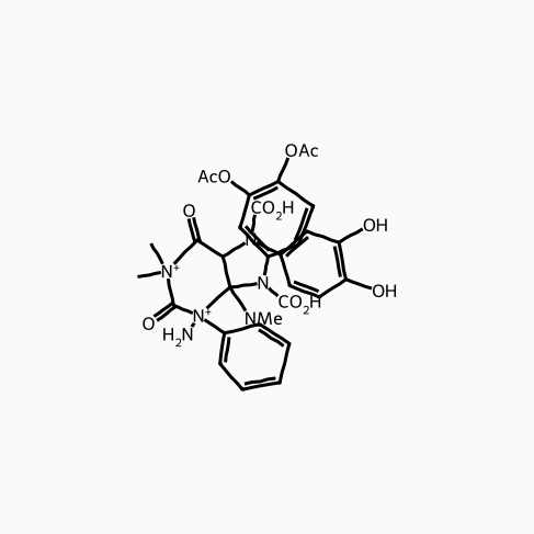 CNC1(N(C(=O)O)c2ccc(OC(C)=O)c(OC(C)=O)c2)C(N(C(=O)O)c2ccc(O)c(O)c2)C(=O)[N+](C)(C)C(=O)[N+]1(N)c1ccccc1